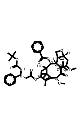 COC1C[C@H]2OC[C@@]2(OC(C)=O)[C@H]2[C@H](OC(=O)c3ccccc3)C3(O)C[C@H](OC(=O)C[C@@H](NC(=O)OC(C)(C)C)c4ccccc4)C(C)=C([C@@H](OC)C(=O)[C@]12C)C3(C)C